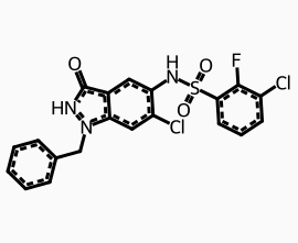 O=c1[nH]n(Cc2ccccc2)c2cc(Cl)c(NS(=O)(=O)c3cccc(Cl)c3F)cc12